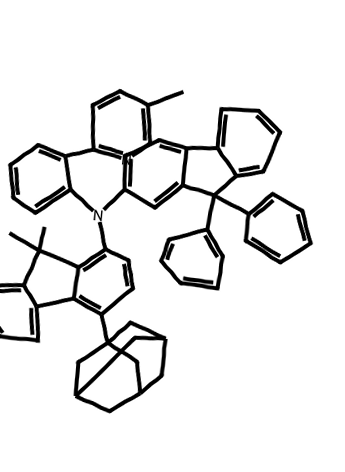 Cc1ccc(-c2ccccc2N(c2ccc3c(c2)C(c2ccccc2)(c2ccccc2)c2ccccc2-3)c2ccc(C34CC5CC(CC(C5)C3)C4)c3c2C(C)(C)c2ccccc2-3)nc1